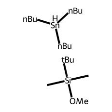 CCC[CH2][SnH]([CH2]CCC)[CH2]CCC.[CH2]O[Si](C)(C)C(C)(C)C